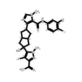 CC(=O)c1nn(C)c(C2(O)CC3CC(c4ncn(C)c4C(=O)Nc4ccc(F)c(Cl)c4)CC3C2)c1F